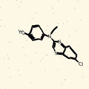 CN(c1ccc(O)cc1)c1cnc2cc(Cl)ccc2n1